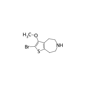 COc1c(Br)sc2c1CCNCC2